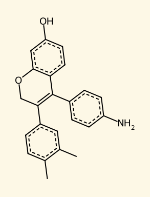 Cc1ccc(C2=C(c3ccc(N)cc3)c3ccc(O)cc3OC2)cc1C